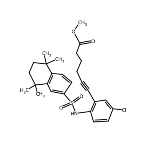 COC(=O)CCCC#Cc1cc(Cl)ccc1NS(=O)(=O)c1ccc2c(c1)C(C)(C)CCC2(C)C